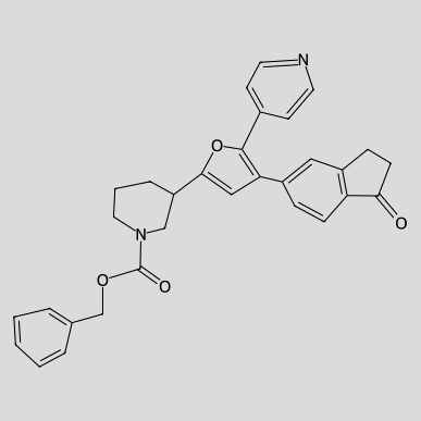 O=C1CCc2cc(-c3cc(C4CCCN(C(=O)OCc5ccccc5)C4)oc3-c3ccncc3)ccc21